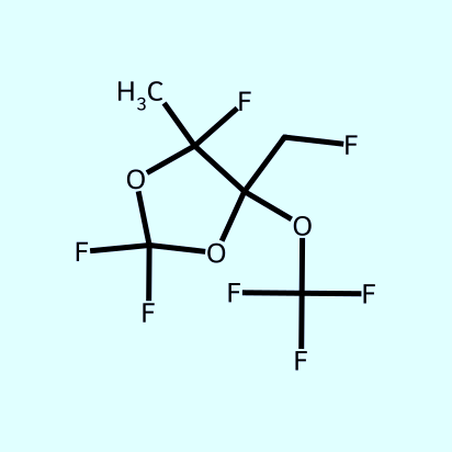 CC1(F)OC(F)(F)OC1(CF)OC(F)(F)F